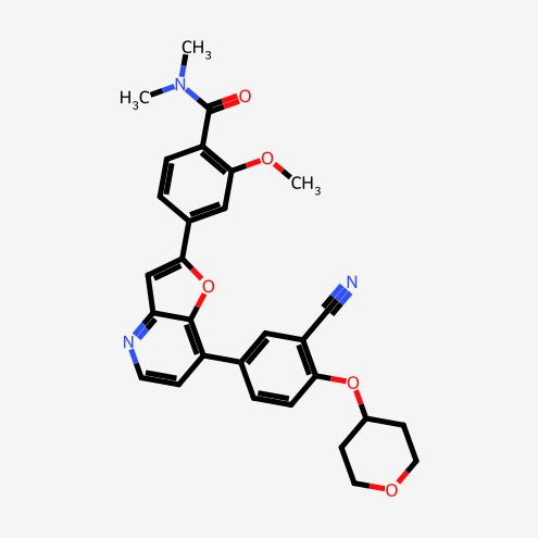 COc1cc(-c2cc3nccc(-c4ccc(OC5CCOCC5)c(C#N)c4)c3o2)ccc1C(=O)N(C)C